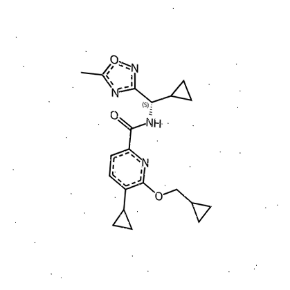 Cc1nc([C@@H](NC(=O)c2ccc(C3CC3)c(OCC3CC3)n2)C2CC2)no1